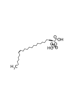 CCCCCC/C=C\CCCCCCCCCCCCC#CC(OS(=O)(=O)O)C(=O)O